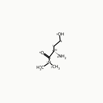 CN(C)C(=O)[C@@H](N)CCO